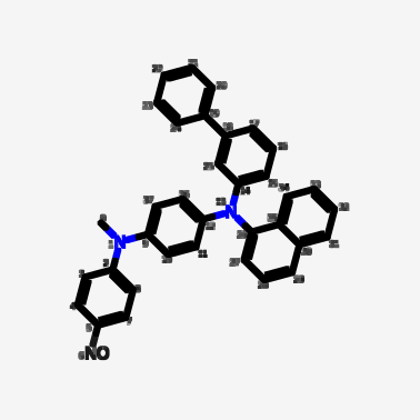 CN(c1ccc(N=O)cc1)c1ccc(N(c2cccc(-c3ccccc3)c2)c2cccc3ccccc23)cc1